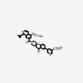 CCOc1cc(C(=O)N2CCC3(CC2)CC(=O)c2cc(-c4cncc(C(=O)[O-])c4)ccc2O3)cc2c(C3CC3)nccc12.[Na+]